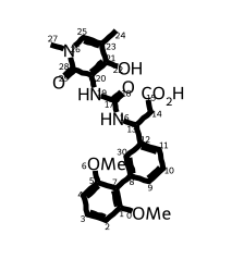 COc1cccc(OC)c1-c1cccc(C(CC(=O)O)NC(=O)Nc2c(O)c(C)cn(C)c2=O)c1